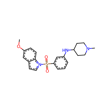 COc1ccc2c(ccn2S(=O)(=O)c2cccc(NC3CCN(C)CC3)c2)c1